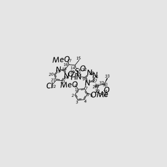 COc1cccc(OC)c1-n1c(NS(=O)(=O)C(C)C(OC)c2ncc(Cl)cn2)nnc1[C@H]1CCO[C@@H]1C